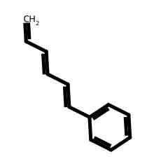 C=CC=C/C=C/c1ccccc1